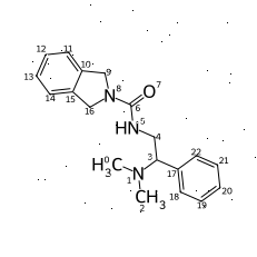 CN(C)C(CNC(=O)N1Cc2ccccc2C1)c1ccccc1